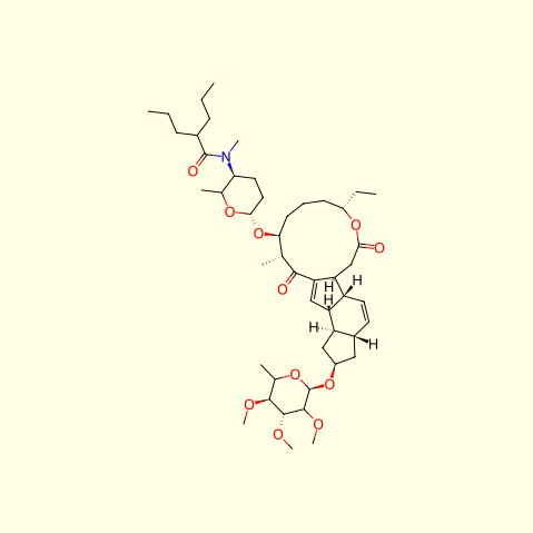 CCCC(CCC)C(=O)N(C)[C@H]1CC[C@H](O[C@H]2CCC[C@H](CC)OC(=O)C[C@@H]3C(=C[C@@H]4[C@H]3C=C[C@@H]3C[C@@H](O[C@@H]5OC(C)[C@H](OC)[C@@H](OC)C5OC)C[C@@H]43)C(=O)[C@@H]2C)OC1C